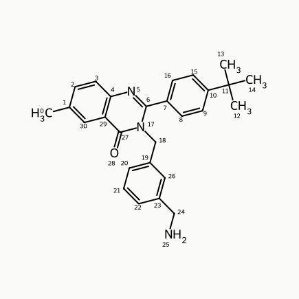 Cc1ccc2nc(-c3ccc(C(C)(C)C)cc3)n(Cc3cccc(CN)c3)c(=O)c2c1